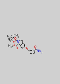 COC(=O)C1c2ccc(OCc3cccc(C(N)=O)c3)cc2CCN1C(=O)OC(C)(C)C